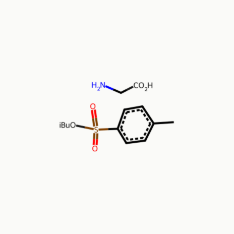 Cc1ccc(S(=O)(=O)OCC(C)C)cc1.NCC(=O)O